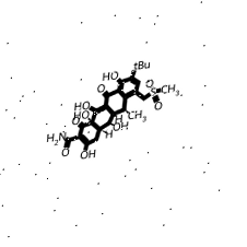 C[C@H]1c2c(CS(C)(=O)=O)cc(C(C)(C)C)c(O)c2C(=O)C2=C(O)[C@]3(O)C(=O)C(C(N)=O)=C(O)C[C@@H]3[C@@H](O)[C@@H]21